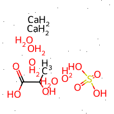 CC(O)C(=O)O.O.O.O.O.O.O=S(=O)(O)O.[CaH2].[CaH2]